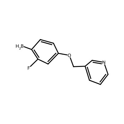 Bc1ccc(OCc2cccnc2)cc1F